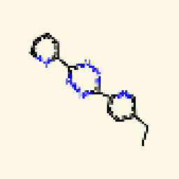 CCc1ccc(-c2nnc(-c3ccccn3)nn2)nc1